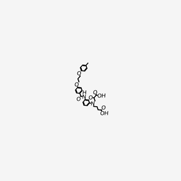 Cc1ccc(OCCCOc2ccc(C(=O)Nc3cccc4c3OC(C(=O)O)CN4CCCC(=O)O)cc2)cc1